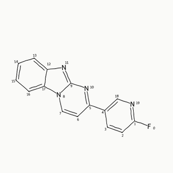 Fc1ccc(-c2ccn3c(n2)nc2ccccc23)cn1